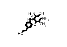 CC(CN)C(O)C(Nc1ccc(CCO)cc1)C(N)CO